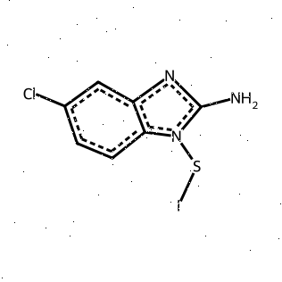 Nc1nc2cc(Cl)ccc2n1SI